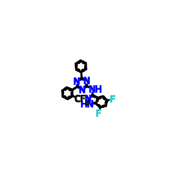 Fc1cc(F)c2[nH]nc(Nc3nc(-c4ccccc4)nc(-c4ccccc4C(F)(F)F)n3)c2c1